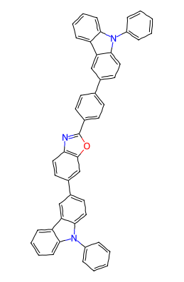 c1ccc(-n2c3ccccc3c3cc(-c4ccc(-c5nc6ccc(-c7ccc8c(c7)c7ccccc7n8-c7ccccc7)cc6o5)cc4)ccc32)cc1